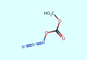 [N-]=[N+]=NOC(=O)OC(=O)O